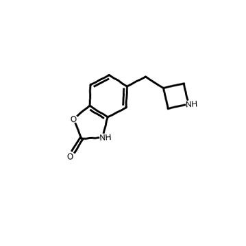 O=c1[nH]c2cc(CC3CNC3)ccc2o1